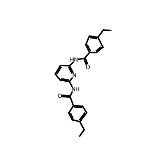 CCc1ccc(C(=O)Nc2cccc(NC(=O)c3ccc(CC)cc3)n2)cc1